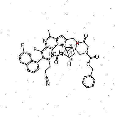 Cc1nc2c(F)c(-c3cccc4ccc(F)cc34)c(CCC#N)cc2c2c1cc(CN1CCN(C(=O)OCc3ccccc3)CC1=O)n2[C@H]1[C@@H]2C[C@H]1N(C(=O)O)C2